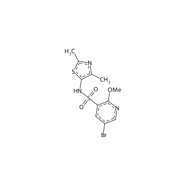 COc1ncc(Br)cc1S(=O)(=O)Nc1sc(C)nc1C